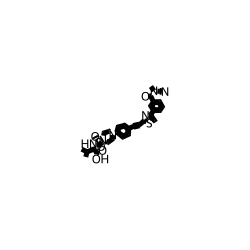 CC(C)[C@@H](NS(=O)(=O)N1CCN(c2ccc(C#Cc3nc(-c4cccc(C(=O)N(C)C#N)c4)cs3)cc2)CC1)C(=O)O